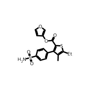 CCc1sc(C(=O)Oc2ccoc2)c(-c2ccc(S(N)(=O)=O)cc2)c1C